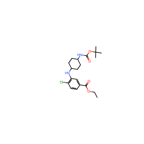 CCOC(=O)c1ccc(Cl)c(NC2CCC(NC(=O)OC(C)(C)C)CC2)c1